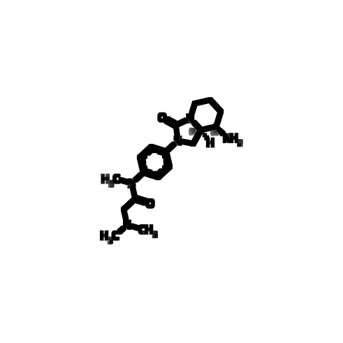 CN(C)CC(=O)N(C)c1ccc(N2C[C@@H]3[C@H](N)CCCN3C2=O)cc1